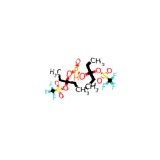 CCC(CC)(O[PH](=O)OC(CC)(CC)OS(=O)(=O)C(F)(F)F)OS(=O)(=O)C(F)(F)F